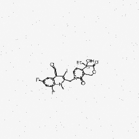 CC[C@@]1(O)C(=O)OCc2c1ccn(CC1=C(I)C(=C=O)c3cc(F)cc(F)c3N1C)c2=O